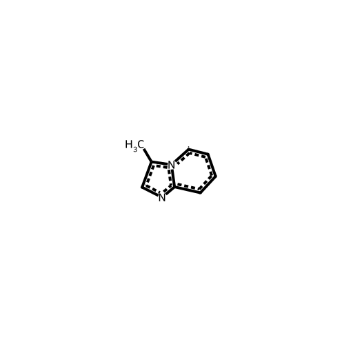 Cc1cnc2ccc[c]n12